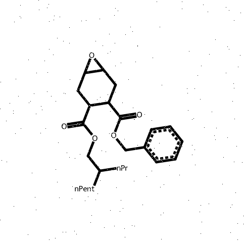 CCCCCC(CCC)COC(=O)C1CC2OC2CC1C(=O)OCc1ccccc1